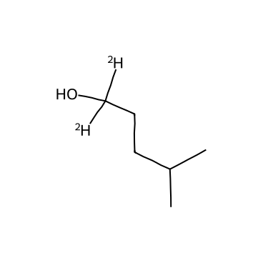 [2H]C([2H])(O)CCC(C)C